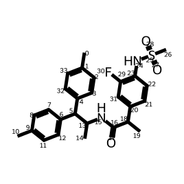 Cc1ccc(C(c2ccc(C)cc2)C(C)NC(=O)C(C)c2ccc(NS(C)(=O)=O)c(F)c2)cc1